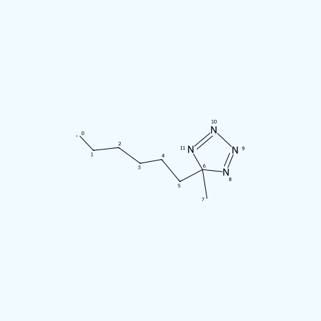 [CH2]CCCCCC1(C)N=NN=N1